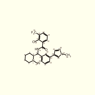 CC(C)N1CCCC[C@H]1C(NC(=O)c1cccc(C(F)(F)F)c1Cl)c1cccc(-c2cnn(C)c2)c1